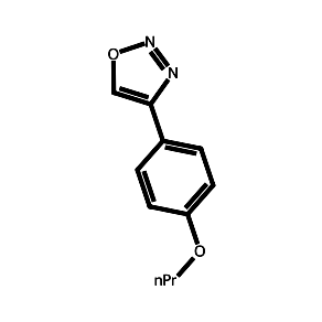 CCCOc1ccc(-c2conn2)cc1